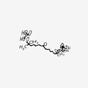 CC(C)(CCCCCC(=O)CCCCCC(C)(C)COP(=O)(O)O)COP(=O)(O)O